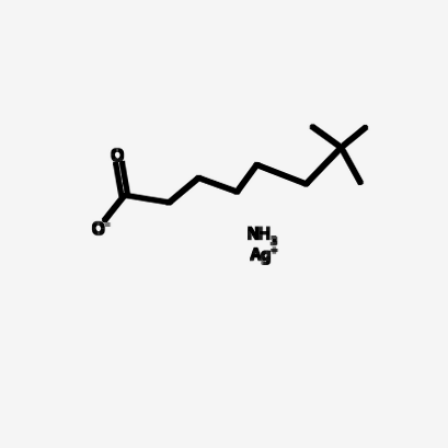 CC(C)(C)CCCCCC(=O)[O-].N.[Ag+]